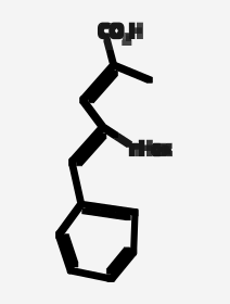 CCCCCCC(=C\c1ccccc1)/C=C(\C)C(=O)O